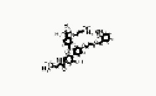 COCCCN1CC(C)(C)c2ccc(CO[C@H]3CN(C(=O)[C@@H](N)CC(C)C)C[C@@H](O)[C@@H]3c3ccc(OCCCOCc4ccccc4OC)cc3)cc21